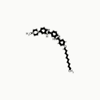 C=CCCCCCCCCCOc1ccc(-c2nc3ccc(-c4nc5ccc(N6CCN(C)CC6)cc5[nH]4)cc3[nH]2)cc1